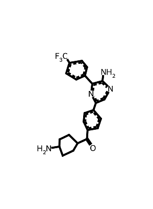 Nc1ncc(-c2ccc(C(=O)C3CCC(N)CC3)cc2)nc1-c1ccc(C(F)(F)F)cc1